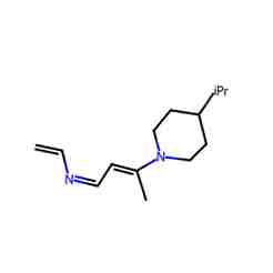 C=C/N=C\C=C(/C)N1CCC(C(C)C)CC1